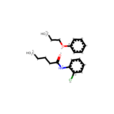 O=C(O)CCCC(=O)Nc1ccccc1Cl.O=C(O)CCOc1ccccc1